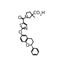 CC1(C(=O)O)CCN(C(=O)c2cnc(Oc3ccc4c(c3)CC[C@@H](c3ccccc3)O4)s2)C1